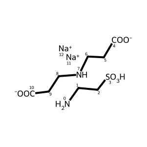 NCCS(=O)(=O)O.O=C([O-])CCNCCC(=O)[O-].[Na+].[Na+]